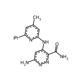 Cc1cc(Nc2cc(N)nnc2C(N)=O)nc(C(C)C)c1